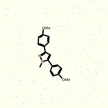 COc1ccc(-c2cc(-c3ccc(OC)cc3)n(C)n2)cc1